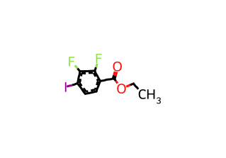 CCOC(=O)c1ccc(I)c(F)c1F